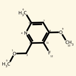 COCc1nc(C)cc(OC)c1F